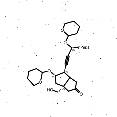 CCCCC[C@@H](C#C[C@H]1C2CC(=O)C[C@@]2(CO)C[C@H]1OC1CCCCO1)OC1CCCCO1